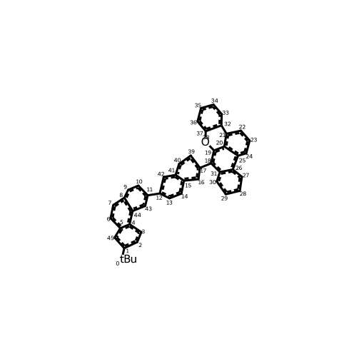 CC(C)(C)c1ccc2c(ccc3ccc(-c4ccc5cc(-c6c7c8c(cccc8c8ccccc68)-c6ccccc6O7)ccc5c4)cc32)c1